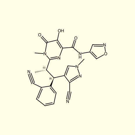 C[C@H](c1nc(C(=O)Nc2cnoc2)c(O)c(=O)n1C)[C@H](c1ccccc1C#N)c1cn(C)nc1C#N